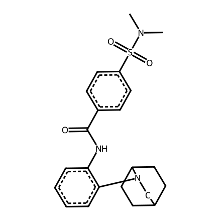 CN(C)S(=O)(=O)c1ccc(C(=O)Nc2ccccc2N2CC3CCC2CC3)cc1